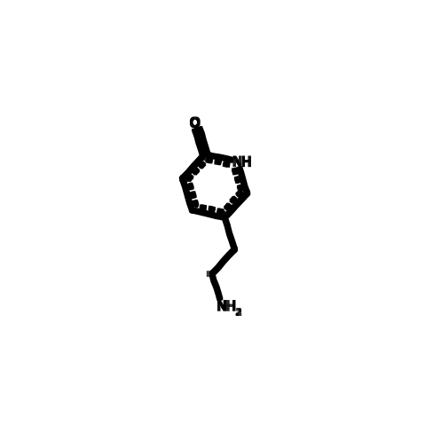 N[C]Cc1ccc(=O)[nH]c1